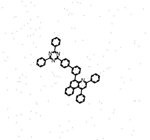 c1ccc(-c2cc(-c3ccccc3)c3c(n2)c(-c2cccc(-c4ccc(-c5nc(-c6ccccc6)nc(-c6ccccc6)n5)cc4)c2)cc2ccccc23)cc1